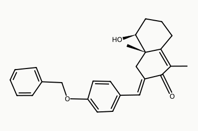 CC1=C2CCC[C@H](O)[C@@]2(C)CC(=Cc2ccc(OCc3ccccc3)cc2)C1=O